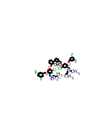 CCCCN(C)Cc1cc(Cl)c(OCc2cccc(-c3cccc(COc4cc(OCc5cc(F)cc(F)c5)c(CN(C)CCCC)cc4Cl)c3C)c2C)cc1OCc1cc(F)cc(F)c1